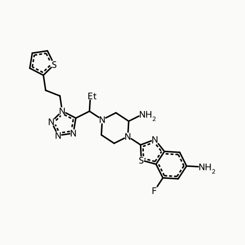 CCC(c1nnnn1CCc1cccs1)N1CCN(c2nc3cc(N)cc(F)c3s2)C(N)C1